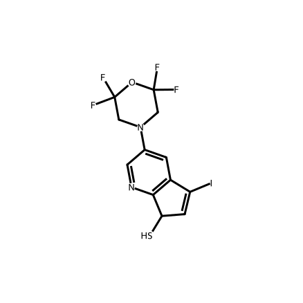 FC1(F)CN(c2cnc3c(c2)C(I)=CC3S)CC(F)(F)O1